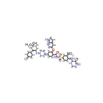 CC1(C)CCC(CN2CCN(c3ccc(C(=O)NS(=O)(=O)c4ccc(N[C@H]5CCCNC5=O)c([N+](=O)[O-])c4)c(Oc4cnc5[nH]ccc5c4)c3)CC2)=C(c2ccc(Cl)cc2)C1